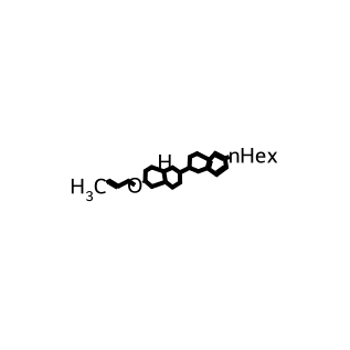 C/C=C/CO[C@@H]1CC[C@@H]2CC(C3CCc4cc(CCCCCC)ccc4C3)CCC2C1